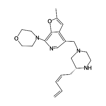 C=C/C=C\C[C@@H]1CN(Cc2cnc(N3CCOCC3)c3oc(C)cc23)CCN1